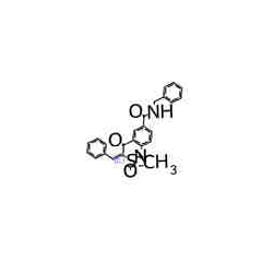 CN1c2ccc(C(=O)NCc3ccccc3)cc2C(=O)/C(=C\c2ccccc2)[S+]1[O-]